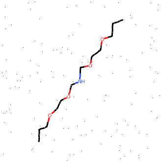 CCCOCCOCNCOCCOCCC